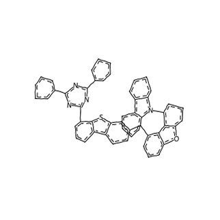 c1ccc(-c2nc(-c3ccccc3)nc(-c3cccc4c3sc3cc(Cc5cccc6oc7cccc(-n8c9ccccc9c9ccccc98)c7c56)ccc34)n2)cc1